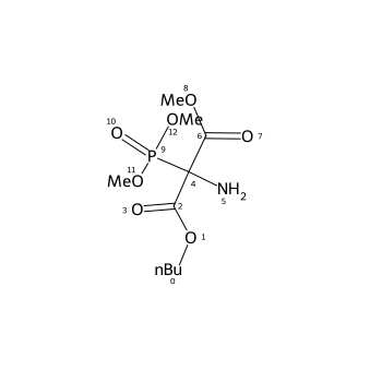 CCCCOC(=O)C(N)(C(=O)OC)P(=O)(OC)OC